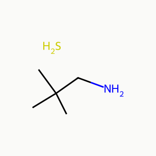 CC(C)(C)CN.S